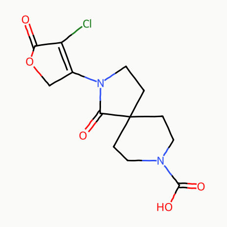 O=C1OCC(N2CCC3(CCN(C(=O)O)CC3)C2=O)=C1Cl